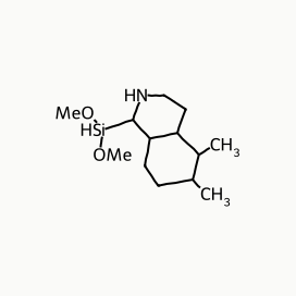 CO[SiH](OC)C1NCCC2C(C)C(C)CCC21